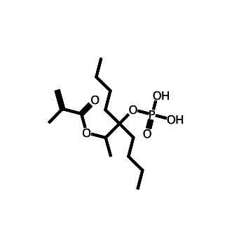 C=C(C)C(=O)OC(C)C(CCCC)(CCCC)OP(=O)(O)O